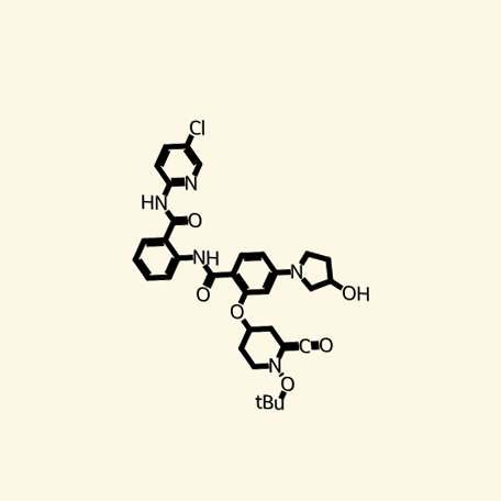 CC(C)(C)ON1CCC(Oc2cc(N3CCC(O)C3)ccc2C(=O)Nc2ccccc2C(=O)Nc2ccc(Cl)cn2)CC1=C=O